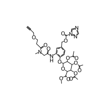 C#CCOCCC(=O)N(C)CC(=O)Nc1cc(COC(=O)n2cncn2)ccc1OC1OC(C(=O)OC)C(OC(C)=O)C(OC(C)=O)C1OC(C)=O